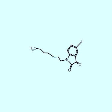 CCCCCCCN1C(=O)C(=O)c2cc(I)ccc21